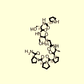 C[C@H](NC(=O)CNC(=O)[C@H](CO)NC(=O)[C@H](CO)NC(=O)[C@@H]1CCCN1)C(=O)N1CCC[C@H]1C(=O)N1CCC[C@H]1C(=O)N1CCC[C@H]1C(N)=O